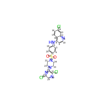 O=S(=O)(c1ccc(Nc2ccnc3cc(Cl)ccc23)cc1)N1CCN(c2nc(Cl)cnc2Cl)CC1